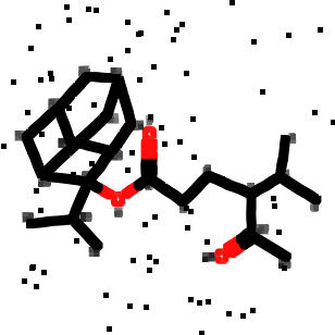 C[C](C)C(CCC(=O)OC1(C(C)C)C2CC3CC(C2)CC1C3)C(C)=O